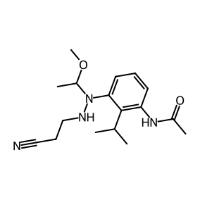 COC(C)N(NCCC#N)c1cccc(NC(C)=O)c1C(C)C